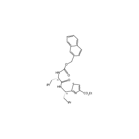 CCOC(=O)c1csc([C@H](CC(C)C)NC(=O)[C@H](CC(C)C)NC(=O)OCc2ccc3ccccc3c2)n1